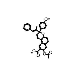 COC(=O)c1cc2c3c(ccc2cc1OC(C)=O)OC(C(C)=Cc1ccccc1)(c1ccc(OC)cc1)C=C3